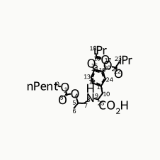 CCCCCOC(=O)OC(C)CN[C@@H](Cc1ccc(OC(=O)C(C)C)c(OC(=O)C(C)C)c1)C(=O)O